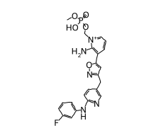 COP(=O)(O)OC[n+]1cccc(-c2cc(Cc3ccc(Nc4cccc(F)c4)nc3)no2)c1N